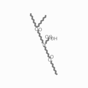 CCCCCCCCCOC(=O)CCCCCCCN(CCCCCCCC(=O)OC(CCCCCCCC)CCCCCCCC)CCCC(=O)N(C)O